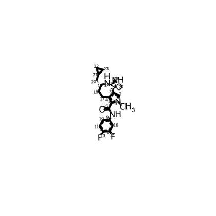 Cn1cc2c(c1C(=O)Nc1ccc(F)c(F)c1)CC[C@H](CC1CC1)NS2(=N)=O